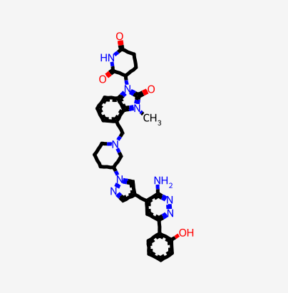 Cn1c(=O)n(C2CCC(=O)NC2=O)c2cccc(CN3CCCC(n4cc(-c5cc(-c6ccccc6O)nnc5N)cn4)C3)c21